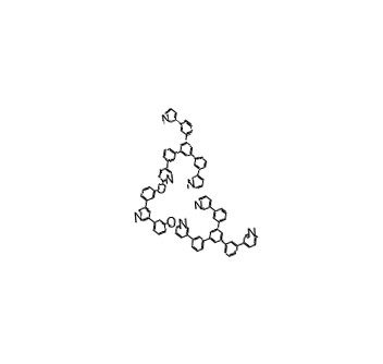 c1cncc(-c2cccc(-c3cc(-c4cccc(-c5cccnc5)c4)cc(-c4cccc(-c5ccc(Oc6cccc(-c7cncc(-c8cccc(Oc9ccc(-c%10cccc(-c%11cc(-c%12cccc(-c%13cccnc%13)c%12)cc(-c%12cccc(-c%13cccnc%13)c%12)c%11)c%10)cn9)c8)c7)c6)nc5)c4)c3)c2)c1